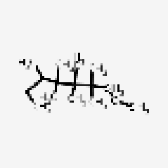 CCC(C)C(C)(C)C(C)(C)C(C)(C)[SiH2]O[SiH3]